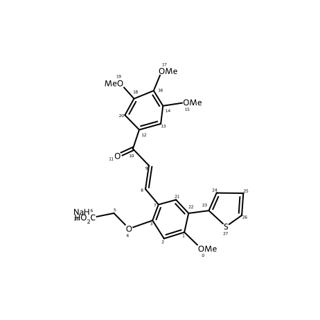 COc1cc(OCC(=O)O)c(C=CC(=O)c2cc(OC)c(OC)c(OC)c2)cc1-c1cccs1.[NaH]